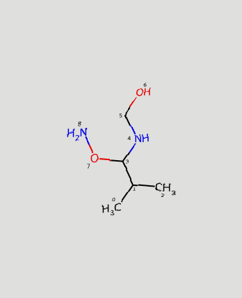 CC(C)C(NCO)ON